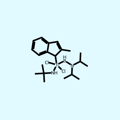 CC1=Cc2ccccc2[CH]1[Ti]([Cl])([Cl])([BH]N(C(C)C)C(C)C)[NH]C(C)(C)C